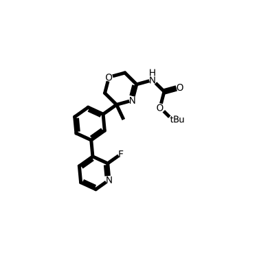 CC(C)(C)OC(=O)NC1=NC(C)(c2cccc(-c3cccnc3F)c2)COC1